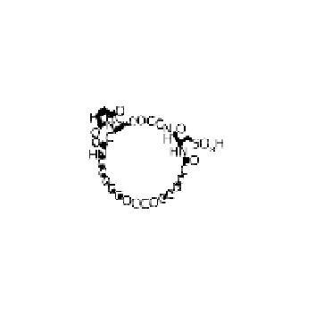 O=C1CC(N2C(=O)C=CC2=O)C(C(=O)O)COCCNC(=O)C(CS(=O)(=O)O)NC(=O)CCOCCOCCOCCOCCN1